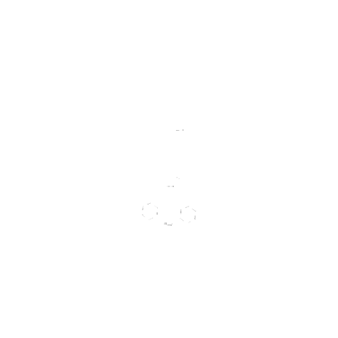 COC(=O)CCCCCNC(=O)OC1Cc2ccccc2C#Cc2ccccc21